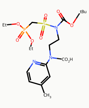 CCOP(=O)(CS(=O)(=O)N(CCN(C(=O)O)c1cc(C)ccn1)C(=O)OC(C)(C)C)OCC